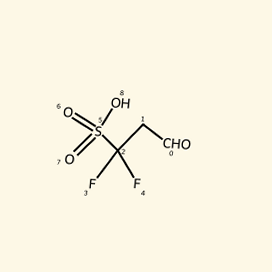 O=CCC(F)(F)S(=O)(=O)O